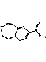 NC(=O)C1=CCN2CCOCCC2=N1